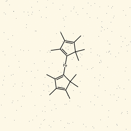 CC1=C(C)C(C)(C)[C]([Fe][C]2=C(C)C(C)=C(C)C2(C)C)=C1C